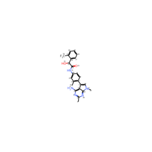 Cc1nc(N)c2c(-c3ccc(NC(=O)C(O)c4ccccc4C(F)(F)F)cc3C)cn(C)c2n1